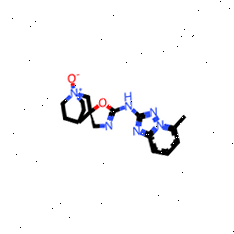 Cc1cccc2nc(NC3=NC[C@@]4(C[N+]5([O-])CCC4CC5)O3)nn12